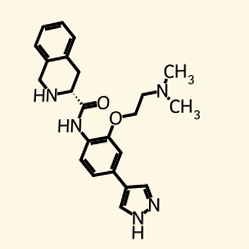 CN(C)CCOc1cc(-c2cn[nH]c2)ccc1NC(=O)[C@H]1Cc2ccccc2CN1